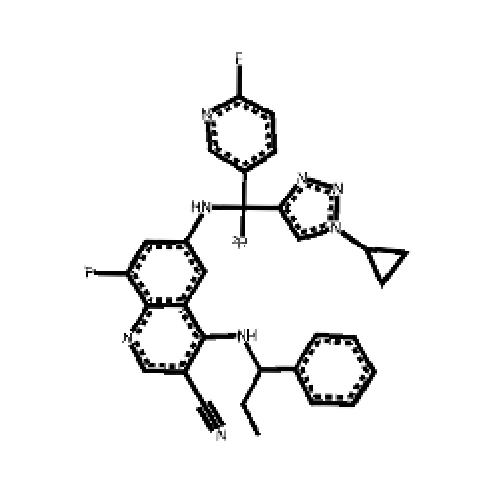 [2H]C(Nc1cc(F)c2ncc(C#N)c(NC(CC)c3ccccc3)c2c1)(c1ccc(F)nc1)c1cn(C2CC2)nn1